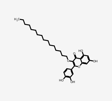 CCCCCCCCCCCCCCCCOc1c(-c2ccc(O)c(O)c2)oc2cc(O)cc(O)c2c1=O